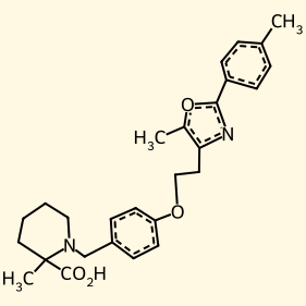 Cc1ccc(-c2nc(CCOc3ccc(CN4CCCCC4(C)C(=O)O)cc3)c(C)o2)cc1